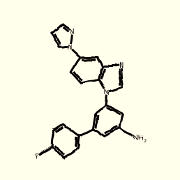 Nc1cc(-c2ccc(F)cc2)cc(-n2cnc3cc(-n4cccn4)ccc32)c1